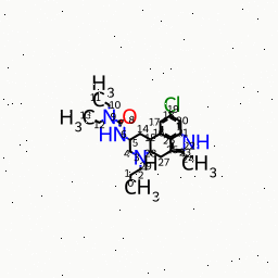 CCCN1C[C@@H](NC(=O)N(CC)CC)CC2c3cc(Cl)cc4[nH]c(C)c(c34)C[C@H]21